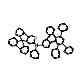 c1ccc(-c2cc(-c3ccccc3)c3c4ccccc4c4cc(N(c5ccccc5)c5cc6c(cn5)-c5ccccc5C65c6ccccc6-c6ccccc65)ccc4c3c2-c2ccccc2)cc1